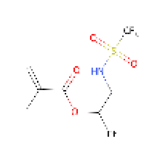 C=C(C)C(=O)OC(CC)CNS(=O)(=O)C(F)(F)F